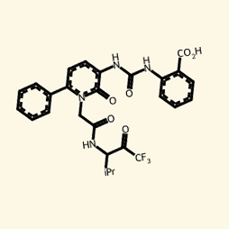 CC(C)C(NC(=O)Cn1c(-c2ccccc2)ccc(NC(=O)Nc2ccccc2C(=O)O)c1=O)C(=O)C(F)(F)F